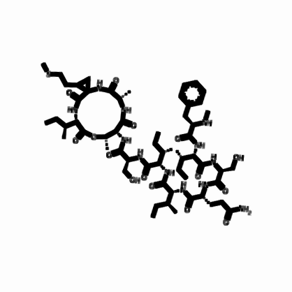 CC[C@H](C)[C@H](NC(=O)[C@@H](Cc1ccccc1)NC)C(=O)N[C@@H](CO)C(=O)N[C@H](CCC(N)=O)C(=O)N[C@@H](C(=O)N[C@H](C(=O)N[C@@H](CO)C(=O)N[C@H]1C(=O)N[C@@H](C)C(=O)NC2(CC2CCSC)C(=O)N[C@@H]([C@@H](C)CC)C(=O)O[C@H]1C)[C@@H](C)CC)[C@@H](C)CC